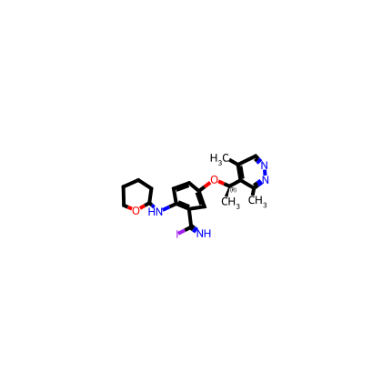 Cc1cnnc(C)c1[C@@H](C)Oc1ccc(NC2CCCCO2)c(C(=N)I)c1